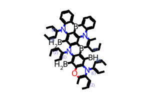 Bc1c2c(c(B)c3c1N(C(/C=C\C)=C/C)C(/C=C\C)=C(C)O3)N(C(/C=C\C)=C/C)c1c(B)c3c4c5c1B2C(/C=C\C)=C(C)N5c1ccccc1B4c1ccccc1N3C(/C=C\C)=C/C